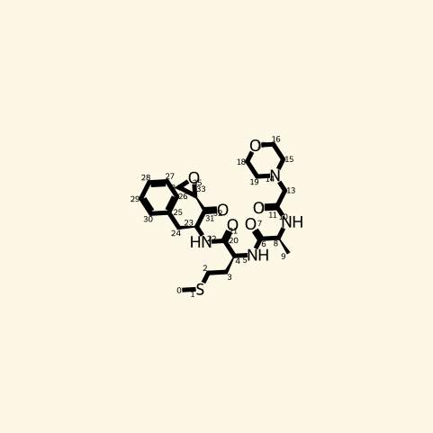 CSCC[C@H](NC(=O)[C@H](C)NC(=O)CN1CCOCC1)C(=O)N[C@@H](Cc1ccccc1)C(=O)[C@H]1CO1